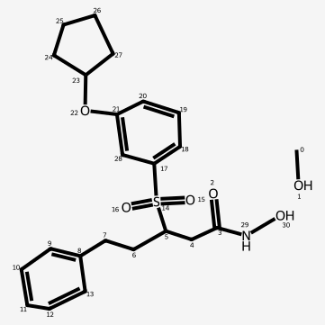 CO.O=C(CC(CCc1ccccc1)S(=O)(=O)c1cccc(OC2CCCC2)c1)NO